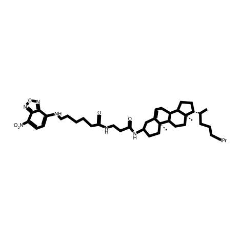 CC(C)CCCC(C)[C@H]1CCC2C3CC=C4CC(NC(=O)CCNC(=O)CCCCCNc5ccc([N+](=O)[O-])c6nonc56)CC[C@]4(C)C3CC[C@@]21C